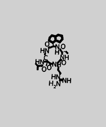 CC[C@@H]1NC(=O)[C@H](CCCNC(=N)N)NC(=O)[C@](C)(NC(=O)C(C)C)CCNC(=O)[C@@H](c2cccc3ccccc23)NC1=O